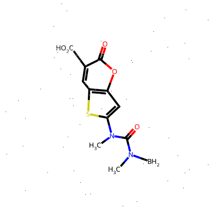 BN(C)C(=O)N(C)c1cc2oc(=O)c(C(=O)O)cc2s1